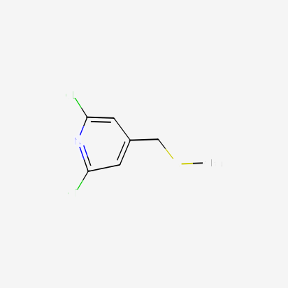 CCCCSCc1cc(Cl)nc(Cl)c1